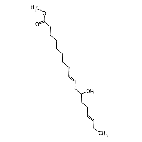 CCC=CCCC(O)CC=CCCCCCCCC(=O)OC